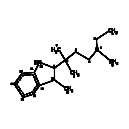 BN(CC)CCC(C)(C)C1Nc2ccccc2C1C